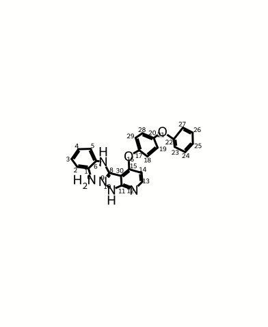 Nc1ccccc1Nc1n[nH]c2nccc(Oc3ccc(Oc4ccccc4)cc3)c12